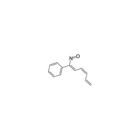 C=C/C=C\C=C(/N=O)c1ccccc1